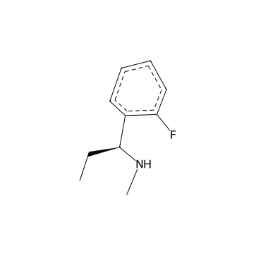 CC[C@H](NC)c1ccccc1F